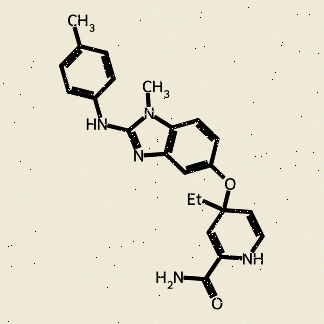 CCC1(Oc2ccc3c(c2)nc(Nc2ccc(C)cc2)n3C)C=CNC(C(N)=O)=C1